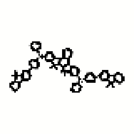 CC1(C)c2ccccc2-c2ccc(-c3ccc(N(c4ccccc4)c4ccc5c(c4)C(C)(C)c4c6c(c7ccccc7c4-5)-c4ccc(N(c5ccccc5)c5ccc(-c7ccc8c(c7)C(C)(C)c7ccccc7-8)cc5)cc4C6(C)C)cc3)cc21